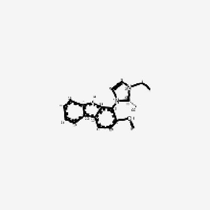 CCN1C=CN(c2c(OC)ccc3c2sc2ccccc23)[C@H]1C